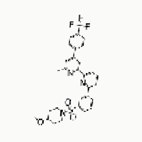 COC1CCN(S(=O)(=O)c2cccc(-c3cccc(-c4cc(-c5ccc(C(F)(F)F)cc5)cc(C)n4)n3)c2)CC1